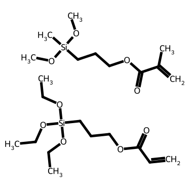 C=C(C)C(=O)OCCC[Si](C)(OC)OC.C=CC(=O)OCCC[Si](OCC)(OCC)OCC